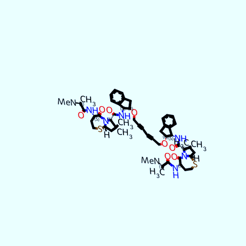 CN[C@@H](C)C(=O)N[C@H]1CCS[C@H]2CC(C)(C)[C@@H](C(=O)N[C@H]3c4ccccc4C[C@H]3OCC#CC#CCO[C@@H]3Cc4ccccc4[C@@H]3NC(=O)[C@H]3N4C(=O)[C@@H](NC(=O)[C@H](C)NC)CCS[C@H]4CC3(C)C)N2C1=O